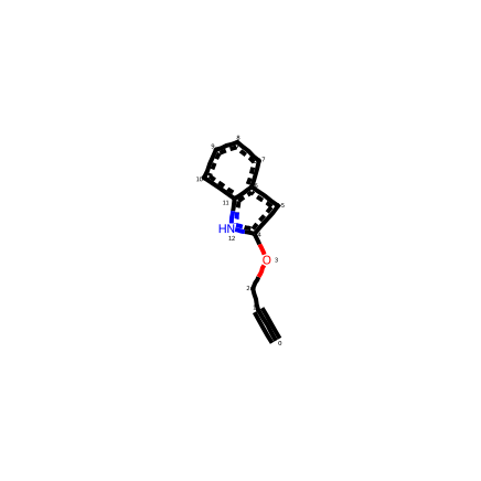 C#CCOc1cc2ccccc2[nH]1